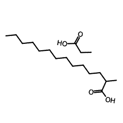 CCC(=O)O.CCCCCCCCCCCCC(C)C(=O)O